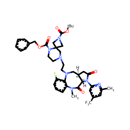 Cc1cc(C(F)(F)F)cc(N2C(=O)C[C@@H]3CN(CCN4CCN(C(=O)OCc5ccccc5)C5(C4)CN(C(=O)OC(C)(C)C)C5)c4c(F)cccc4N(C)C(=O)[C@H]32)n1